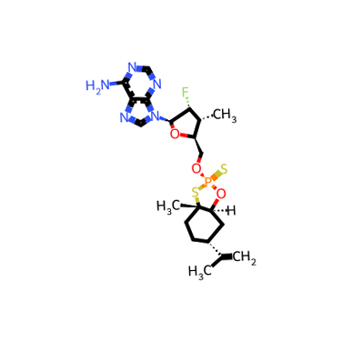 C=C(C)[C@@H]1CC[C@]2(C)S[P@@](=S)(OC[C@H]3O[C@@H](n4cnc5c(N)ncnc54)[C@H](F)[C@@H]3C)O[C@H]2C1